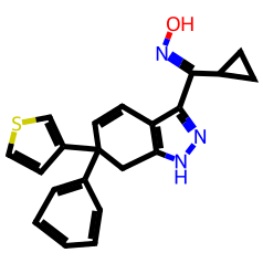 ON=C(c1n[nH]c2c1C=CC(c1ccccc1)(c1ccsc1)C2)C1CC1